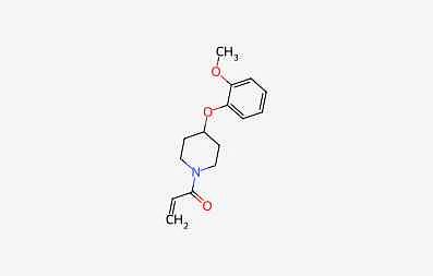 C=CC(=O)N1CCC(Oc2ccccc2OC)CC1